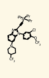 CC(C)[Si](C#Cc1nc2ccc(N3CCC(C(F)(F)F)CC3)cc2n1-c1ccc(OC(F)(F)F)c(Cl)c1)(C(C)C)C(C)C